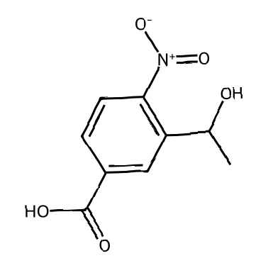 CC(O)c1cc(C(=O)O)ccc1[N+](=O)[O-]